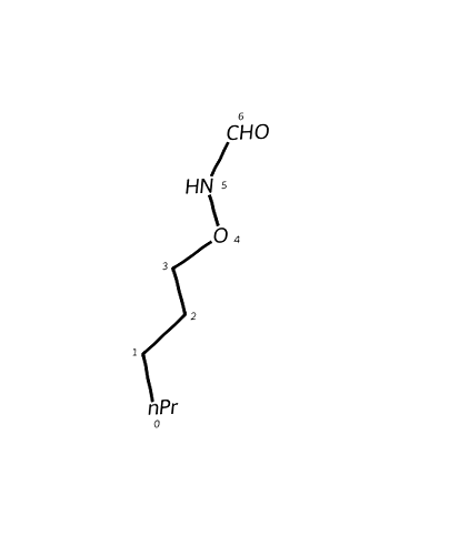 CCCCCCONC=O